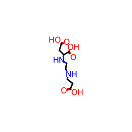 O=C(O)CCNCCNC(CC(=O)O)C(=O)O